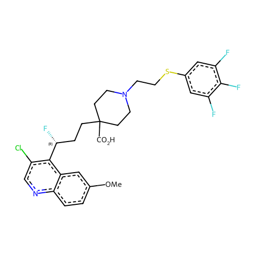 COc1ccc2ncc(Cl)c([C@H](F)CCC3(C(=O)O)CCN(CCSc4cc(F)c(F)c(F)c4)CC3)c2c1